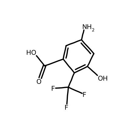 Nc1cc(O)c(C(F)(F)F)c(C(=O)O)c1